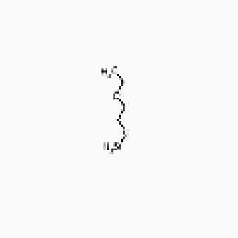 CCOCCO[SiH3]